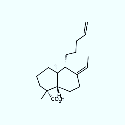 C=CCCC[C@@H]1/C(=C\C)CC[C@H]2[C@@]1(C)CCC[C@@]2(C)C(=O)O